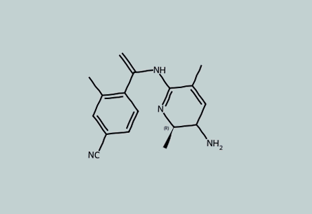 C=C(NC1=N[C@H](C)C(N)C=C1C)c1ccc(C#N)cc1C